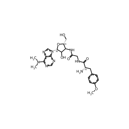 COc1ccc(C[C@H](N)C(=O)NCC(=O)NC2C(O)[C@H](n3cnc4c(N(C)C)ncnc43)O[C@@H]2CO)cc1